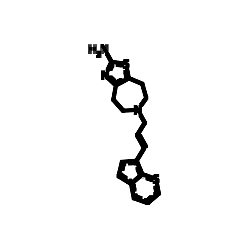 Nc1nc2c(s1)CCN(CC=Cc1ccc3cccsc1-3)CC2